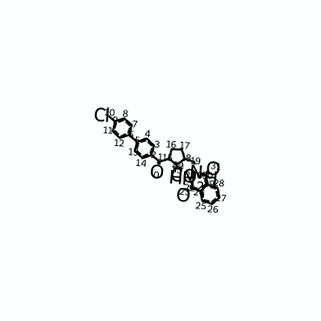 O=C(c1ccc(-c2ccc(Cl)cc2)cc1)C1CCC(Cn2[nH]c(=O)c3ccccc3c2=O)[C@H]1C(=O)O